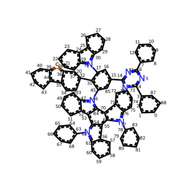 c1ccc(-c2nc(-c3ccccc3)nc(-c3cc(-n4c5ccccc5c5ccccc54)c(-c4ccc5c(c4)sc4ccccc45)c(-n4c5ccccc5c5c6c(c7ccccc7n6-c6ccccc6)c6c(c7ccccc7n6-c6ccccc6)c54)c3)n2)cc1